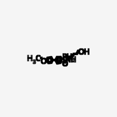 CCOc1ccc(-c2ccc([SH](=O)(P)NCCCCCO)cc2)cc1